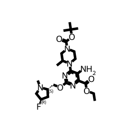 CCOC(=O)c1nc(OC[C@@H]2C[C@@H](F)CN2C)nc(N2CCN(C(=O)OC(C)(C)C)CC2C)c1N